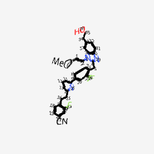 COCCn1c(Cc2ccc(-c3cccc(CCc4ccc(C#N)cc4F)n3)cc2F)nc2ccc(CCO)cc21